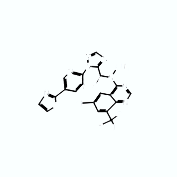 C[C@@H](c1ncnn1-c1ccc(-c2nccs2)cn1)N(C)c1ncnc2c(C(F)(F)F)cc(Cl)cc12